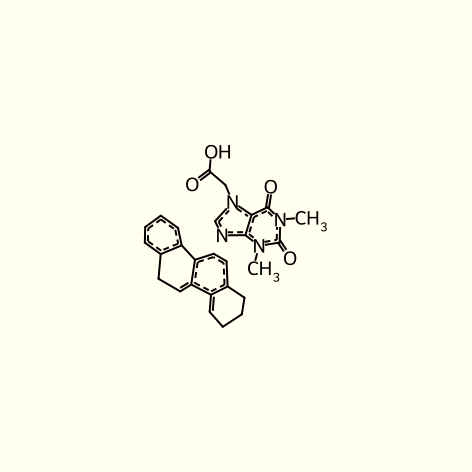 C1=c2c(ccc3c2=CCc2ccccc2-3)CCC1.Cn1c(=O)c2c(ncn2CC(=O)O)n(C)c1=O